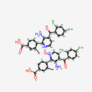 Cc1cc(C(=O)O)ccc1-c1c(N)c(C(=O)c2ccc(F)cc2F)cc[n+]1[O-].Cc1cc(C(=O)O)ccc1-c1nccc(C(=O)c2ccc(F)cc2F)c1N